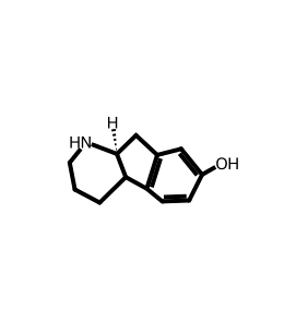 Oc1ccc2c(c1)C[C@@H]1NCCCC21